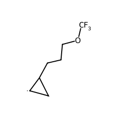 FC(F)(F)OCCCC1[CH]C1